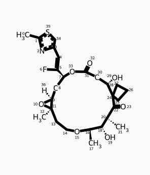 Cc1nc(C=C(F)[C@@H]2C[C@@H]3O[C@]3(C)CCO[C@H](C)[C@@H](O)[C@@H](C)C(=O)C3(CCC3)[C@@H](O)CC(=O)O2)cs1